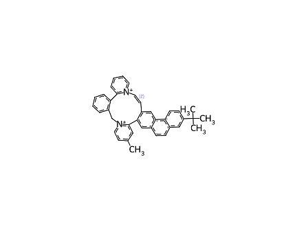 Cc1cc[n+]2c(c1)-c1cc3ccc4cc(C(C)(C)C)ccc4c3cc1/C=C\[n+]1ccccc1-c1ccccc1C2